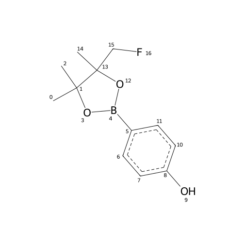 CC1(C)OB(c2ccc(O)cc2)OC1(C)CF